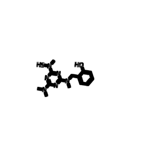 CN(C)c1nc(N(C)S)nc(N(C)Cc2ccccc2O)n1